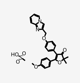 COc1ccc(C2=C(c3ccc(OCc4cn5ccccc5n4)cc3)C(=O)C(C)(C)O2)cc1.CS(=O)(=O)O